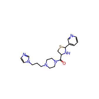 O=C(C1CSC(c2cccnc2)N1)N1CCN(CCCn2ccnc2)CC1